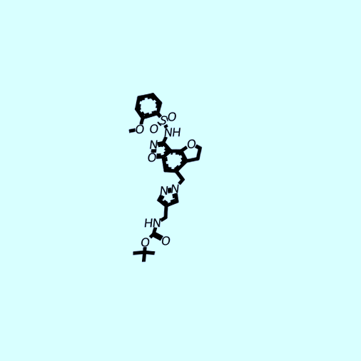 COc1ccccc1S(=O)(=O)Nc1noc2cc(Cn3cc(CNC(=O)OC(C)(C)C)cn3)c3c(c12)OCC3